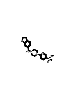 CN=S(C)(=O)c1ccc(N2CCN([C@@H](C)c3ccc4c(c3)OCC4)CC2)nc1